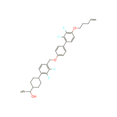 C=CCCCOc1ccc(-c2ccc(OCc3ccc(C4CCC(C(O)CCC)CC4)c(F)c3F)cc2)c(F)c1F